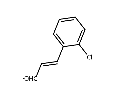 O=[C]C=Cc1ccccc1Cl